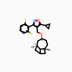 Fc1cccc(F)c1-c1noc(C2CC2)c1CO[C@H]1CC[C@@H]2CC3C[C@@H](C1)C32